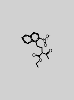 CCOC(=O)C(CCc1c([N+](=O)[O-])ccc2ccccc12)C(C)=O